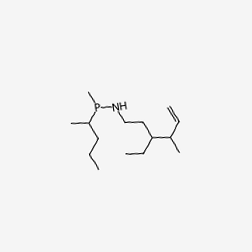 C=CC(C)C(CC)CCNP(C)C(C)CCC